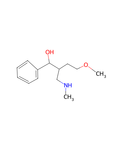 CNCC(CCOC)C(O)c1ccccc1